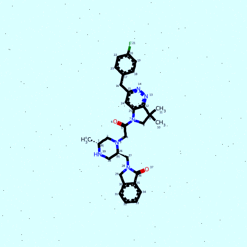 C[C@@H]1CN(CC(=O)N2CC(C)(C)c3nnc(Cc4ccc(F)cc4)cc32)[C@@H](CN2Cc3ccccc3C2=O)CN1